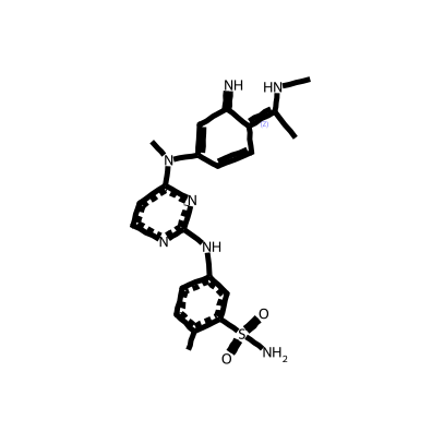 CN/C(C)=C1/C=CC(N(C)c2ccnc(Nc3ccc(C)c(S(N)(=O)=O)c3)n2)=CC1=N